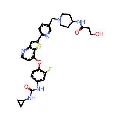 O=C(CCO)NC1CCN(Cc2ccc(-c3cc4nccc(Oc5ccc(NC(=O)NC6CC6)cc5F)c4s3)nc2)CC1